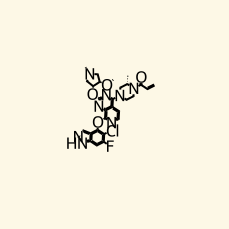 C=CC(=O)N1CCN(c2nc(O[C@@H]3CN(C)C[C@H]3OC)nc3c(Oc4c(Cl)c(F)cc5[nH]ncc45)nccc23)C[C@@H]1C